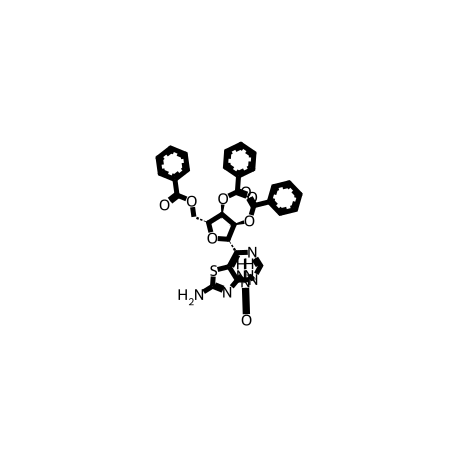 NC1=NC23N[N+](=O)NN2C=NC([C@@H]2O[C@H](COC(=O)c4ccccc4)[C@@H](OC(=O)c4ccccc4)[C@H]2OC(=O)c2ccccc2)=C3S1